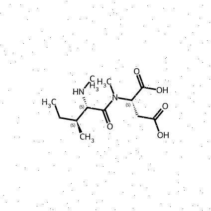 CC[C@H](C)[C@H](NC)C(=O)N(C)[C@@H](CC(=O)O)C(=O)O